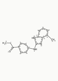 CCC(=O)c1ccc(Nc2nc3c(C)cccc3[nH]2)cc1